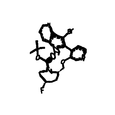 CC(C)(C)OC(=O)N1C[C@@H](F)C[C@H]1COc1cnccc1-c1[nH]c2cccnc2c1Br